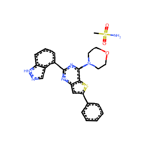 CS(N)(=O)=O.c1ccc(-c2cc3nc(-c4cccc5[nH]ncc45)nc(N4CCOCC4)c3s2)cc1